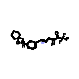 O=C(NC/C=C/c1cccc(NCC2(O)CCCCC2)c1)C(F)(F)F